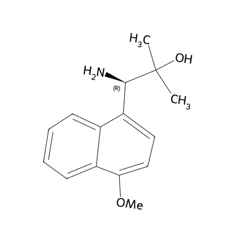 COc1ccc([C@@H](N)C(C)(C)O)c2ccccc12